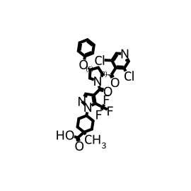 CC1(C(=O)O)CCC(n2ncc(C(=O)N3C[C@@H](Oc4ccccc4)C[C@@H]3C(=O)c3c(Cl)cncc3Cl)c2C(F)(F)F)CC1